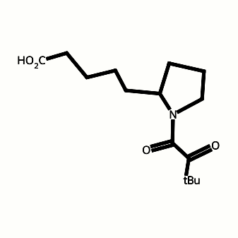 CC(C)(C)C(=O)C(=O)N1CCCC1CCCCC(=O)O